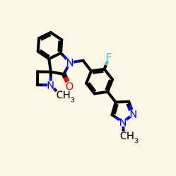 CN1CCC12C(=O)N(Cc1ccc(-c3cnn(C)c3)cc1F)c1ccccc12